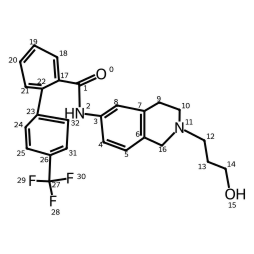 O=C(Nc1ccc2c(c1)CCN(CCCO)C2)c1ccccc1-c1ccc(C(F)(F)F)cc1